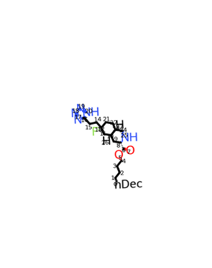 CCCCCCCCCCCCCCOC(=O)[C@@H]1C[C@H]2C[C@@](F)(CCc3nnn[nH]3)CC[C@H]2CN1